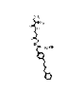 Cl.Cl.NCC(N)C(=O)NCCC(=O)ONC(=O)Cc1ccc(CCCCc2ccccc2)cc1